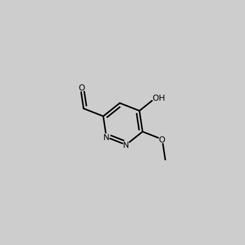 COc1nnc(C=O)cc1O